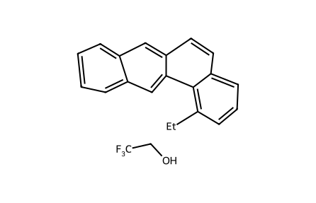 CCc1cccc2ccc3cc4ccccc4cc3c12.OCC(F)(F)F